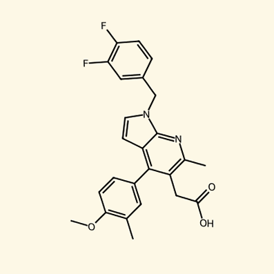 COc1ccc(-c2c(CC(=O)O)c(C)nc3c2ccn3Cc2ccc(F)c(F)c2)cc1C